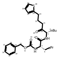 CCCC[C@H](NC(=O)[C@H](CC(C)C)NC(=O)OCc1ccccc1)C(=O)CCCc1cccs1